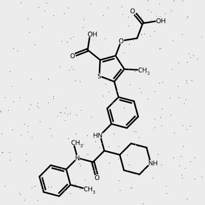 Cc1ccccc1N(C)C(=O)C(Nc1cccc(-c2sc(C(=O)O)c(OCC(=O)O)c2C)c1)C1CCNCC1